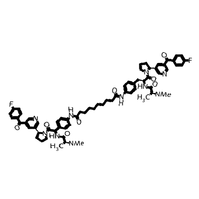 CN[C@@H](C)C(=O)NC(C(=O)N1CCC[C@H]1c1cncc(C(=O)c2ccc(F)cc2)c1)c1ccc(NC(=O)CCCCCCCCC(=O)Nc2ccc(C[C@H](NC(=O)[C@H](C)NC)C(=O)N3CCC[C@H]3c3cncc(C(=O)c4ccc(F)cc4)c3)cc2)cc1